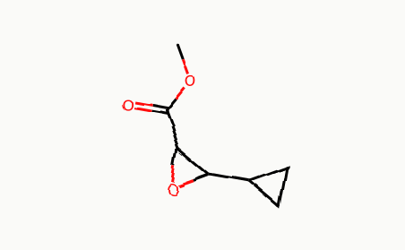 COC(=O)C1OC1C1CC1